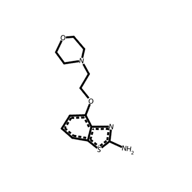 Nc1nc2c(OCCN3CCOCC3)cccc2s1